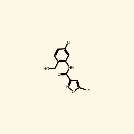 CC(C)c1cc(C(=O)Nc2cc(Cl)ccc2CO)no1